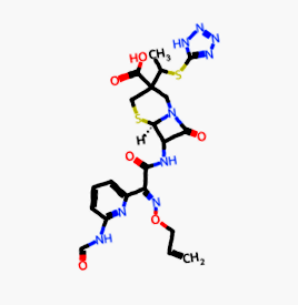 C=CCON=C(C(=O)NC1C(=O)N2CC(C(=O)O)(C(C)Sc3nnn[nH]3)CS[C@H]12)c1cccc(NC=O)n1